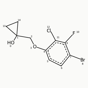 OC1(COc2ccc(Br)c(F)c2Cl)CC1